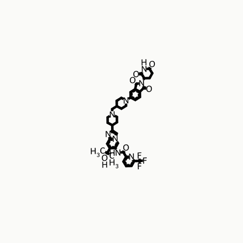 CC(C)(O)c1cc2nc(C3CCN(CC4CCN(c5ccc6c(c5)C(=O)N(C5CCC(=O)NC5=O)C6=O)CC4)CC3)cn2cc1NC(=O)c1cccc(C(F)(F)F)n1